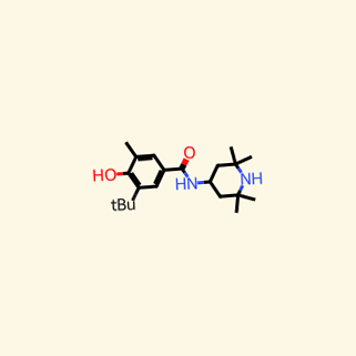 Cc1cc(C(=O)NC2CC(C)(C)NC(C)(C)C2)cc(C(C)(C)C)c1O